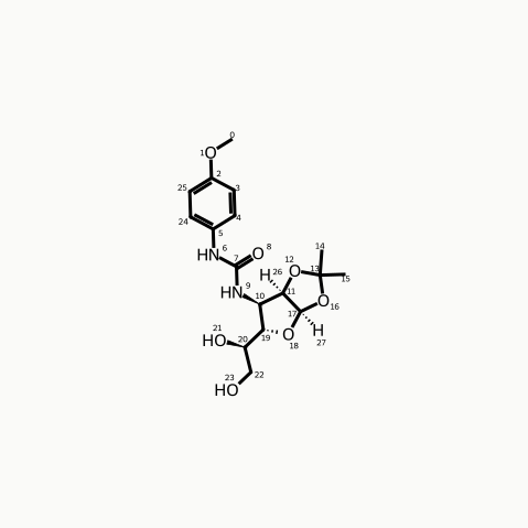 COc1ccc(NC(=O)N[C@H]2[C@H]3OC(C)(C)O[C@H]3O[C@@H]2[C@H](O)CO)cc1